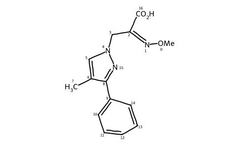 CON=C(Cn1cc(C)c(-c2ccccc2)n1)C(=O)O